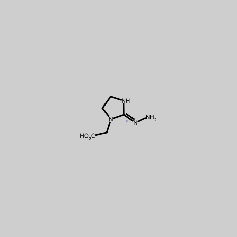 N/N=C1\NCCN1CC(=O)O